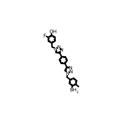 Bc1cc(Cn2cc(-c3ccc(-c4cn(Cc5ccc(O)c(F)c5)nn4)cc3)nn2)ccc1C